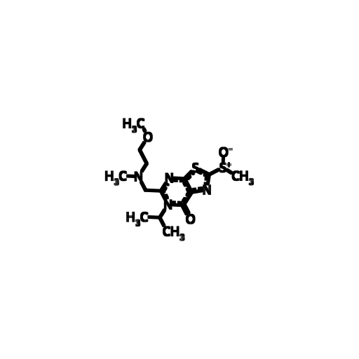 COCCN(C)Cc1nc2sc([S+](C)[O-])nc2c(=O)n1C(C)C